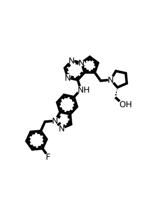 OC[C@H]1CCCN1Cc1ccn2ncnc(Nc3ccc4c(cnn4Cc4cccc(F)c4)c3)c12